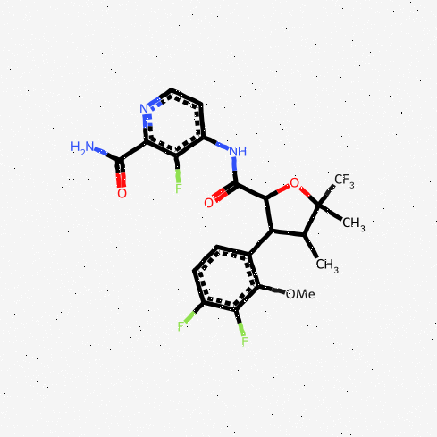 COc1c(C2C(C(=O)Nc3ccnc(C(N)=O)c3F)OC(C)(C(F)(F)F)C2C)ccc(F)c1F